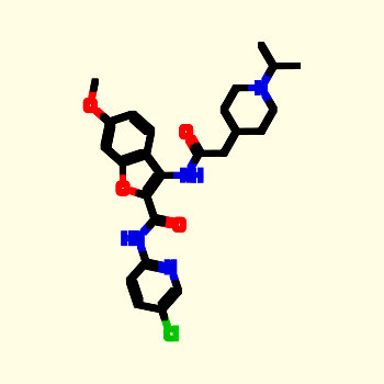 COc1ccc2c(NC(=O)CC3CCN(C(C)C)CC3)c(C(=O)Nc3ccc(Cl)cn3)oc2c1